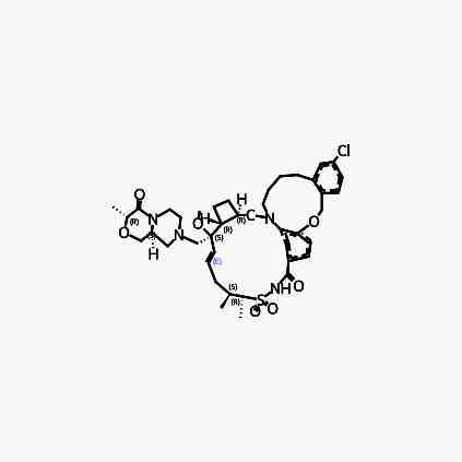 CO[C@]1(CN2CCN3C(=O)[C@@H](C)OC[C@@H]3C2)/C=C/C[C@H](C)[C@@H](C)S(=O)(=O)NC(=O)c2ccc3c(c2)N(CCCCc2cc(Cl)ccc2CO3)C[C@@H]2CC[C@H]21